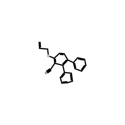 C=CCOc1ccc(-c2ccccc2)c(-c2ccccc2)c1C#N